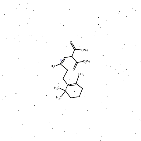 COC(=O)C(/C=C(/C)CCC1=C(C)CCCC1(C)C)C(=O)OC